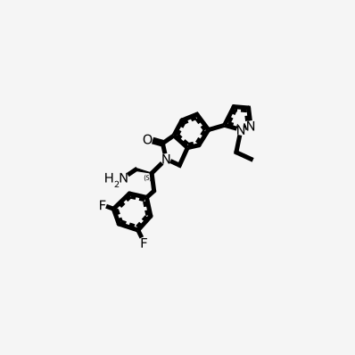 CCn1nccc1-c1ccc2c(c1)CN([C@H](CN)Cc1cc(F)cc(F)c1)C2=O